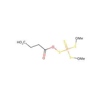 COSP(=S)(SOC)SOC(=O)CCC(=O)O